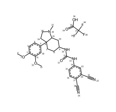 COc1ccc(C23CCC(NC(=O)Nc4ccc(C#N)c(C#N)c4)CC2N(C)CC3)cc1OC.O=C(O)C(F)(F)F